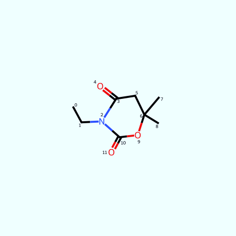 CCN1C(=O)CC(C)(C)OC1=O